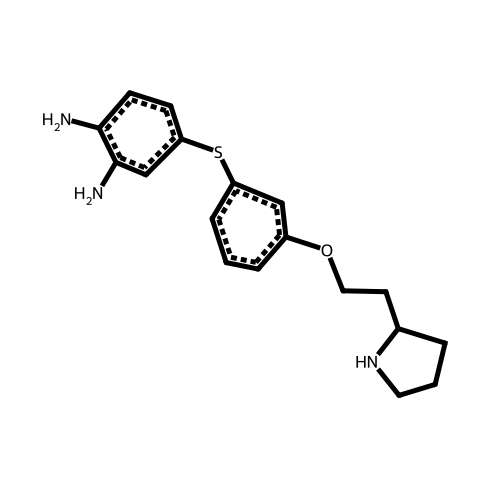 Nc1ccc(Sc2cccc(OCCC3CCCN3)c2)cc1N